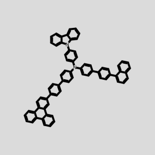 c1ccc2c(-c3ccc(-c4ccc(N(c5ccc(-c6ccc(-c7ccc8c9ccccc9c9ccccc9c8c7)cc6)cc5)c5ccc(-n6c7ccccc7c7ccccc76)cc5)cc4)cc3)cccc2c1